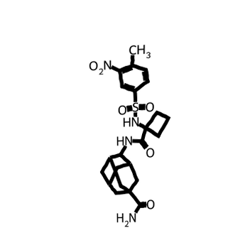 Cc1ccc(S(=O)(=O)NC2(C(=O)NC3C4CC5CC3CC(C(N)=O)(C5)C4)CCC2)cc1[N+](=O)[O-]